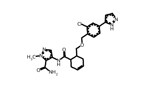 Cn1ncc(NC(=O)C2CC=CCC2COCc2ccc(-c3ccn[nH]3)cc2Cl)c1C(N)=O